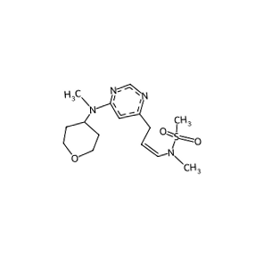 CN(c1cc(C/C=C\N(C)S(C)(=O)=O)ncn1)C1CCOCC1